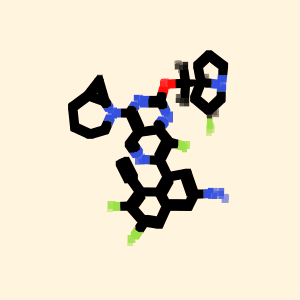 [2H]C([2H])(Oc1nc(N2CCCCC3CC32)c2cnc(-c3cc(N)cc4cc(F)c(F)c(C#C)c34)c(F)c2n1)[C@@]12CCCN1C[C@H](F)C2